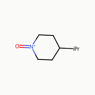 CC(C)C1CC[N+](=O)CC1